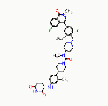 COc1cc(-c2cn(C)c(=O)c3ccc(F)cc23)cc(F)c1CN1CCC(N(C)C(=O)N2CCC(c3ccc(NC4CCC(=O)NC4=O)cc3C(F)(F)F)CC2)CC1